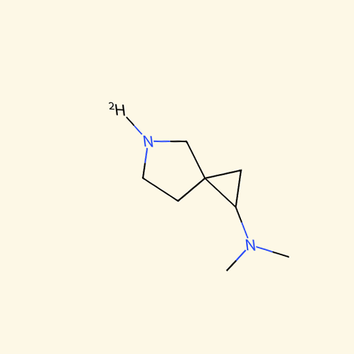 [2H]N1CCC2(CC2N(C)C)C1